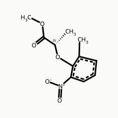 COC(=O)[C@H](C)Oc1c(C)cccc1[N+](=O)[O-]